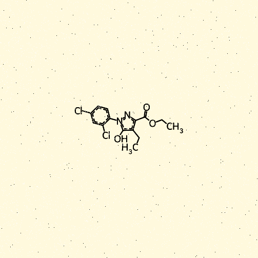 CCOC(=O)c1nn(-c2ccc(Cl)cc2Cl)c(O)c1CC